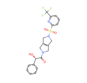 O=C([C@H](O)c1ccccc1)N1CC2=C(C1)CN(S(=O)(=O)c1cccc(C(F)(F)F)n1)C2